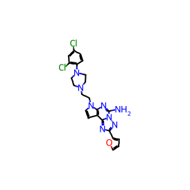 Nc1nc2c(ccn2CCN2CCN(c3ccc(Cl)cc3Cl)CC2)c2nc(-c3ccco3)nn12